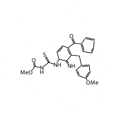 COC(=O)NC(=S)NC1C=CC(C(=O)c2ccccc2)=C(Cc2ccc(OC)cc2)C1=N